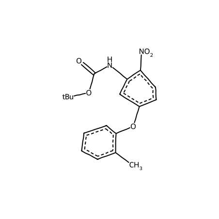 Cc1ccccc1Oc1ccc([N+](=O)[O-])c(NC(=O)OC(C)(C)C)c1